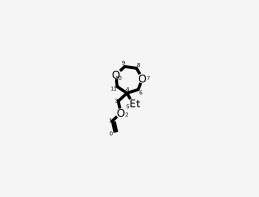 C=COCC1(CC)COCCOC1